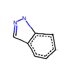 [c]1ccc2c(c1)[N]N=C2